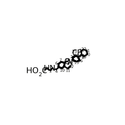 O=C(O)CCNCc1ccc2c(c1)C=CN(c1ccc(C3CCCCC3)c(C(F)(F)F)c1)O2